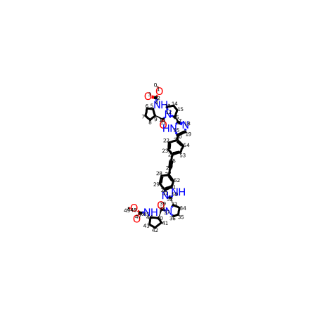 COC(=O)N[C@H]1CCC[C@@H]1C(=O)N1CCC[C@H]1c1ncc(-c2ccc(C#Cc3ccc4nc([C@@H]5CCCN5C(=O)[C@H]5CCC[C@@H]5NC(=O)OC)[nH]c4c3)cc2)[nH]1